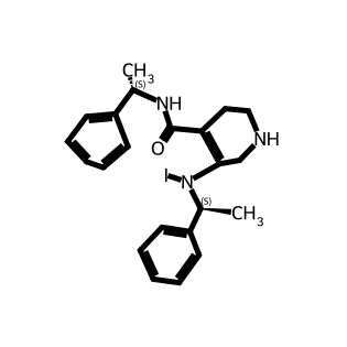 C[C@H](NC(=O)C1=C(N(I)[C@@H](C)c2ccccc2)CNCC1)c1ccccc1